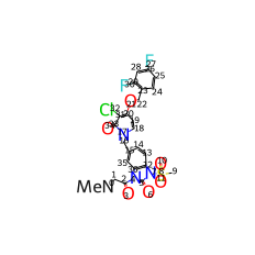 CNCC(=O)n1c(=O)n(S(C)(=O)=O)c2ccc(Cn3ccc(OCc4ccc(F)cc4F)c(Cl)c3=O)cc21